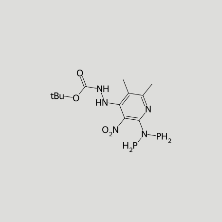 Cc1nc(N(P)P)c([N+](=O)[O-])c(NNC(=O)OC(C)(C)C)c1C